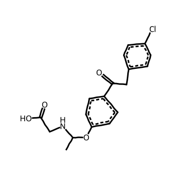 CC(NCC(=O)O)Oc1ccc(C(=O)Cc2ccc(Cl)cc2)cc1